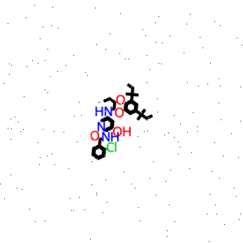 CCC(Oc1ccc(C(C)(C)CC)cc1C(C)(C)CC)C(=O)Nc1cnc(NC(=O)c2ccccc2Cl)c(O)c1